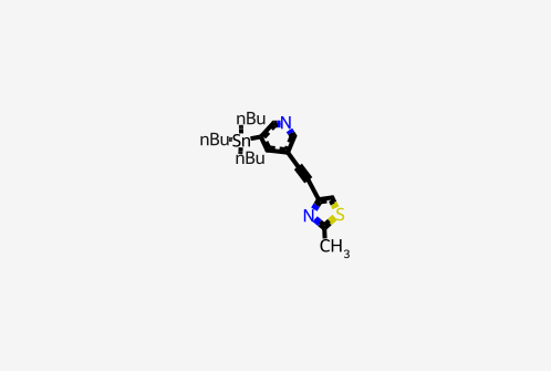 CCC[CH2][Sn]([CH2]CCC)([CH2]CCC)[c]1cncc(C#Cc2csc(C)n2)c1